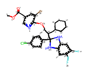 COC(=O)c1cnc(OCC(C2CCCCC2)C2(c3ccc(Cl)cc3)Nc3cc(F)c(F)cc3N2)c(Br)c1